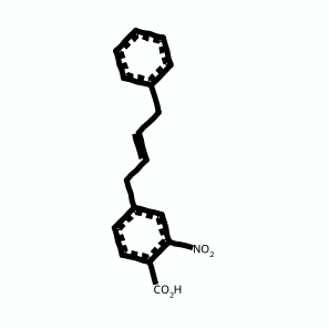 O=C(O)c1ccc(CC=CCc2ccccc2)cc1[N+](=O)[O-]